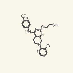 FC(F)(F)c1ccc(Nc2nc(OCCS)nc3c2CCN(c2ncccc2Cl)C3)cc1